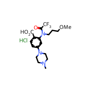 COCCCN(C(=O)C(F)(F)F)c1cc(N2CCN(C)CC2)ccc1C(=O)O.Cl